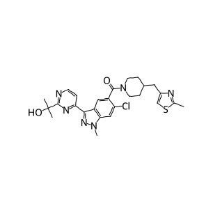 Cc1nc(CC2CCN(C(=O)c3cc4c(-c5ccnc(C(C)(C)O)n5)nn(C)c4cc3Cl)CC2)cs1